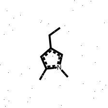 CCc1cc(C)n(C)c1